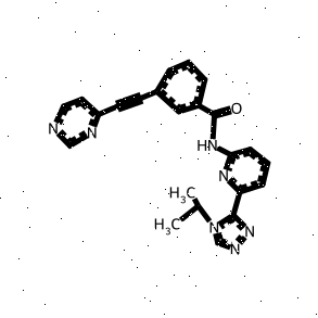 CC(C)n1cnnc1-c1cccc(NC(=O)c2cccc(C#Cc3ccncn3)c2)n1